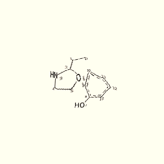 CCC1NCCO1.Oc1ccccc1